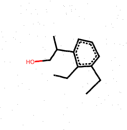 [CH2]C(CO)c1cccc(CC)c1CC